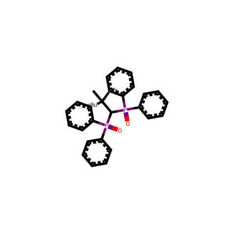 CCCCC(C)(CCC)C(P(=O)(c1ccccc1)c1ccccc1)P(=O)(c1ccccc1)c1ccccc1